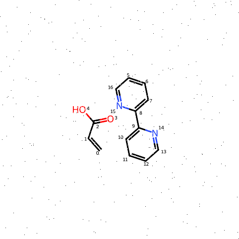 C=CC(=O)O.c1ccc(-c2ccccn2)nc1